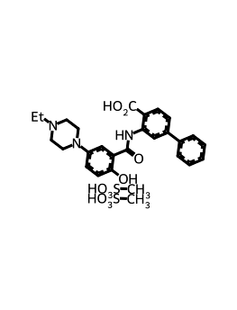 CCN1CCN(c2ccc(O)c(C(=O)Nc3cc(-c4ccccc4)ccc3C(=O)O)c2)CC1.CS(=O)(=O)O.CS(=O)(=O)O